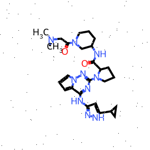 CN(C)CC(=O)N1CCCC(NC(=O)C2CCCN2c2nc(Nc3cc(C4CC4)[nH]n3)c3cccn3n2)C1